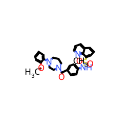 COc1ccccc1N1CCCN(C(=O)c2ccc(NS(=O)(=O)c3cccc4cccnc34)c(C)c2)CC1